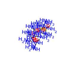 CCC(=O)N[C@H](CCCNC(=N)N)C(=O)N[C@H](CCCNC(=N)N)C(=O)N[C@H](CCCNC(=N)N)C(=O)N[C@H](CCCNCN)C(=O)N[C@H](CCCNC(=N)N)C(=O)N[C@H](CCCNC(=N)N)C(=O)N[C@H](CCCNC(=N)N)C(=O)N[C@H](CCCNC(=N)N)C(=O)N[C@H](CS)C(N)=O